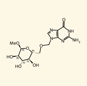 CO[C@H]1O[C@H](COCn2cnc3c(=O)[nH]c(N)nc32)[C@@H](O)[C@H](O)[C@H]1O